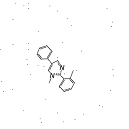 Cc1ccccc1-c1ncc(-c2ccccc2)c[n+]1C